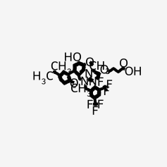 COc1cc(CN(Cc2cc(C(F)(F)F)cc(C(F)(F)F)c2)c2ncc(OCCCC(=O)O)cn2)c(-c2cc(C(C)C)ccc2OC)cc1O